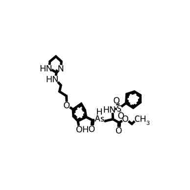 CCOC(=O)C(C[AsH]C(=O)c1ccc(OCCCNC2=NCCCN2)cc1O)NS(=O)(=O)c1ccccc1